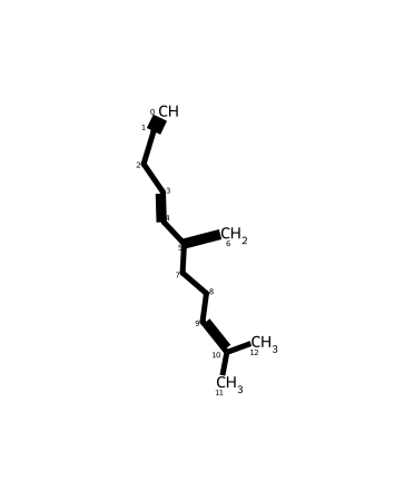 C#CCC=CC(=C)CCC=C(C)C